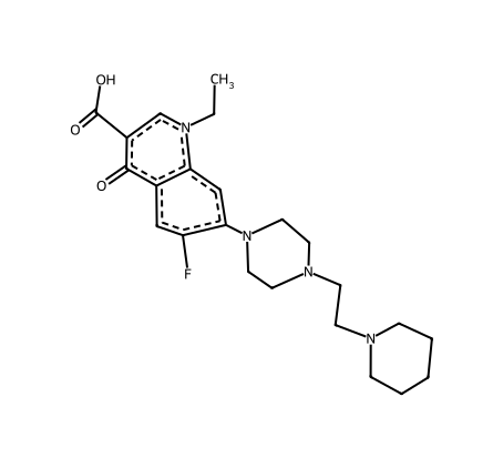 CCn1cc(C(=O)O)c(=O)c2cc(F)c(N3CCN(CCN4CCCCC4)CC3)cc21